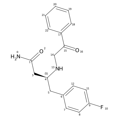 NC(=O)C[C@H](Cc1ccc(F)cc1)NCC(=O)c1ccccc1